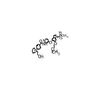 CNC(=O)n1ccc2cc(Oc3ccnc(NC(=O)c4ccc([N+]5(CCO)CCCCC5)cc4)c3)c(OCCOC)cc21